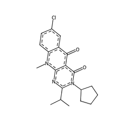 CC(C)c1nc2c(c(=O)c3cc(Cl)ccc3n2C)c(=O)n1C1CCCC1